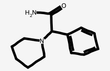 NC(=O)C(c1ccccc1)N1CCCCC1